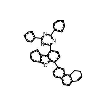 C1=Cc2ccc3ccc(-c4ccc(-c5nc(-c6ccccc6)nc(-c6ccccc6)n5)c5c4oc4ccccc45)cc3c2CC1